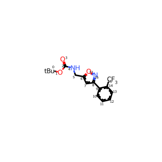 CC(C)(C)OC(=O)NCc1cc(-c2ccccc2C(F)(F)F)no1